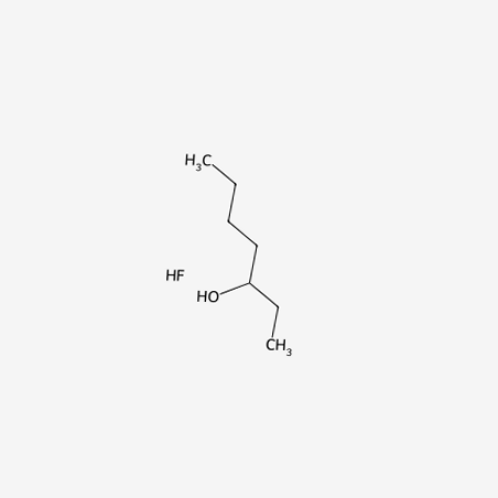 CCCCC(O)CC.F